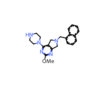 COc1nc2c(c(N3CCNCC3)n1)CN(Cc1cccc3ccccc13)C2